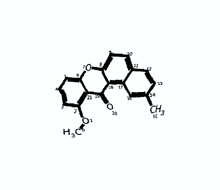 COc1cccc2oc3ccc4ccc(C)cc4c3c(=O)c12